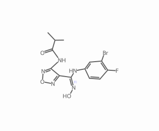 CC(C)C(=O)Nc1nonc1/C(=N\O)Nc1ccc(F)c(Br)c1